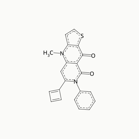 Cn1c2ccsc2c(=O)c2c(=O)n(-c3ccccc3)c(C3=CC=C3)cc21